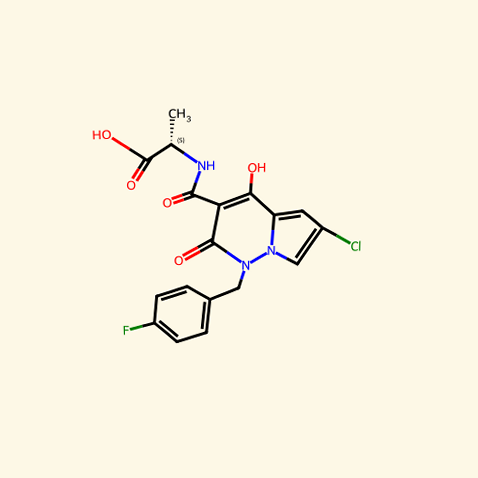 C[C@H](NC(=O)c1c(O)c2cc(Cl)cn2n(Cc2ccc(F)cc2)c1=O)C(=O)O